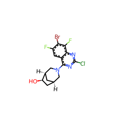 O[C@@H]1C[C@H]2C[C@@H]1CN(c1nc(Cl)nc3c(F)c(Br)c(F)cc13)C2